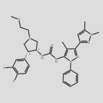 COCCN1C[C@@H](NC(=O)Nc2c(C)c(-c3cc(C)n(C)n3)nn2-c2ccccc2)[C@H](c2ccc(F)c(F)c2)C1